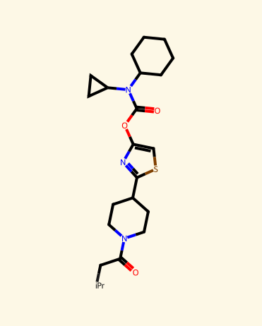 CC(C)CC(=O)N1CCC(c2nc(OC(=O)N(C3CCCCC3)C3CC3)cs2)CC1